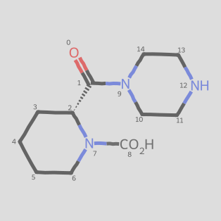 O=C([C@H]1CCCCN1C(=O)O)N1CCNCC1